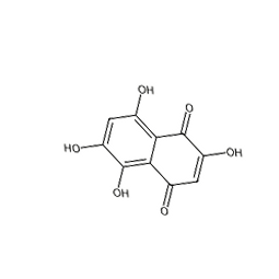 O=C1C(O)=CC(=O)c2c(O)c(O)cc(O)c21